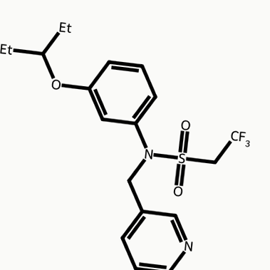 CCC(CC)Oc1cccc(N(Cc2cccnc2)S(=O)(=O)CC(F)(F)F)c1